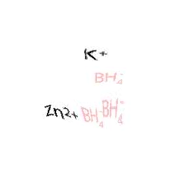 [BH4-].[BH4-].[BH4-].[K+].[Zn+2]